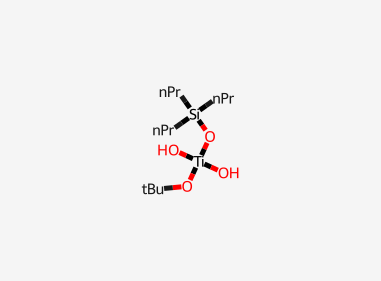 CCC[Si](CCC)(CCC)[O][Ti]([OH])([OH])[O]C(C)(C)C